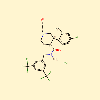 Cc1cc(F)ccc1[C@@H]1CN(CCO)CC[C@H]1C(=O)N(C)Cc1cc(C(F)(F)F)cc(C(F)(F)F)c1.Cl